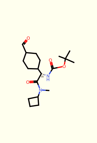 CN(C(=O)[C@@H](NC(=O)OC(C)(C)C)C1CCC(C=O)CC1)C1CCC1